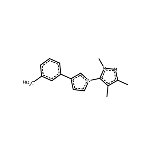 Cc1nn(C)c(-n2ccc(-c3cccc(C(=O)O)c3)c2)c1C